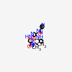 C=CCn1c2nc(Nc3cc(N[C@H](CO)c4ccccc4)c(-c4nc(C56CCN(CC5)CC6)no4)cn3)ccc2c(=O)n1C